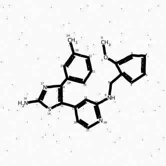 COc1ccccc1CNc1cc(-c2sc(N)nc2-c2cccc(C)c2)ccn1